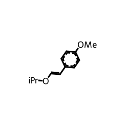 COc1ccc(C=COC(C)C)cc1